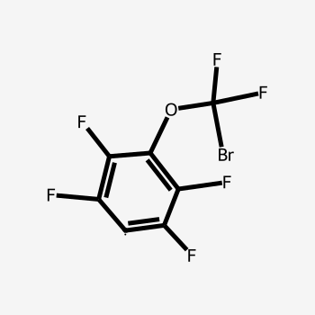 Fc1[c]c(F)c(F)c(OC(F)(F)Br)c1F